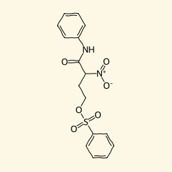 O=C(Nc1ccccc1)C(CCOS(=O)(=O)c1ccccc1)[N+](=O)[O-]